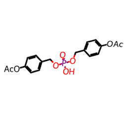 CC(=O)Oc1ccc(COP(=O)(O)OCc2ccc(OC(C)=O)cc2)cc1